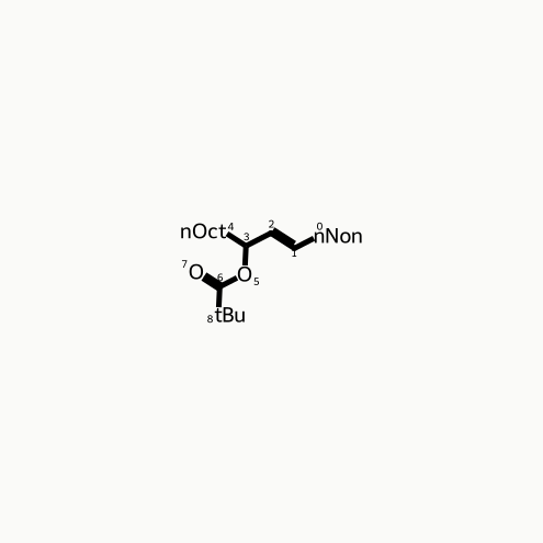 CCCCCCCCCC=CC(CCCCCCCC)OC(=O)C(C)(C)C